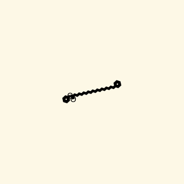 O=C(CCCCCCCCCCCCCCCCCCc1ccccc1)Oc1ccccc1